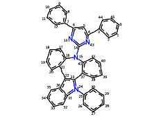 c1ccc(-c2cc(-c3ccccc3)nc(N3c4ccccc4-c4c(n(-c5ccccc5)c5ccccc45)-c4ccccc43)n2)cc1